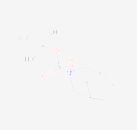 CC(C)(C)OC(=O)N1CC2CCC(C1)C2C=O